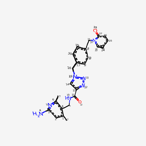 Cc1cc(N)nc(C)c1CNC(=O)c1cn(Cc2ccc(Cn3ccccc3=O)cc2)nn1